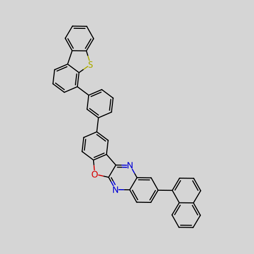 c1cc(-c2ccc3oc4nc5ccc(-c6cccc7ccccc67)cc5nc4c3c2)cc(-c2cccc3c2sc2ccccc23)c1